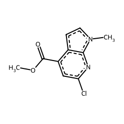 COC(=O)c1cc(Cl)nc2c1ccn2C